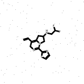 C=CC1=C2CC(NCC(F)F)CN2C(c2nccs2)=NC1